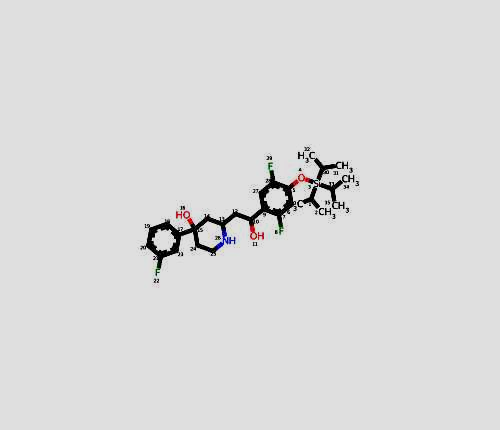 CC(C)[Si](Oc1cc(F)c(C(O)CC2CC(O)(c3cccc(F)c3)CCN2)cc1F)(C(C)C)C(C)C